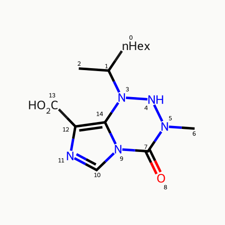 CCCCCCC(C)N1NN(C)C(=O)n2cnc(C(=O)O)c21